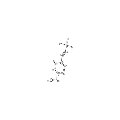 CS(C)(C)C#Cc1ccc(C=O)cn1